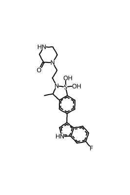 CC1c2cc(-c3c[nH]c4cc(F)ccc34)ccc2S(O)(O)N1CCN1CCNCC1=O